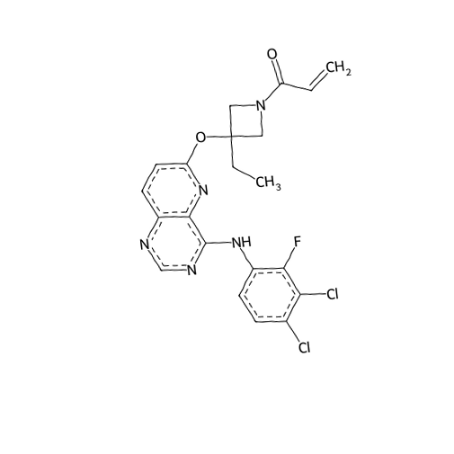 C=CC(=O)N1CC(CC)(Oc2ccc3ncnc(Nc4ccc(Cl)c(Cl)c4F)c3n2)C1